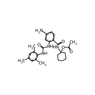 CC(=O)OC1(NC(=O)c2ccc(N)cc2NC(=O)Nc2c(C)cc(C)cc2C)CCCCC1